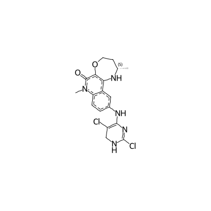 C[C@H]1CCOc2c(c3cc(NC4=C(Cl)CNC(Cl)=N4)ccc3n(C)c2=O)N1